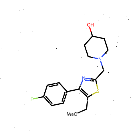 COCc1sc(CN2CCC(O)CC2)nc1-c1ccc(F)cc1